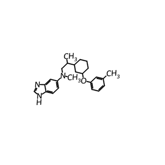 Cc1cccc(OC2CCCC(C(C)CN(C)c3ccc4[nH]cnc4c3)C2)c1